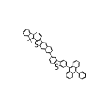 C=Cc1c(C2=C(C)c3ccccc3C2(C)C)sc2cc3cc(-c4ccc5sc6cc(-c7c8ccccc8c(-c8ccccc8)c8ccccc78)ccc6c5c4)ccc3cc12